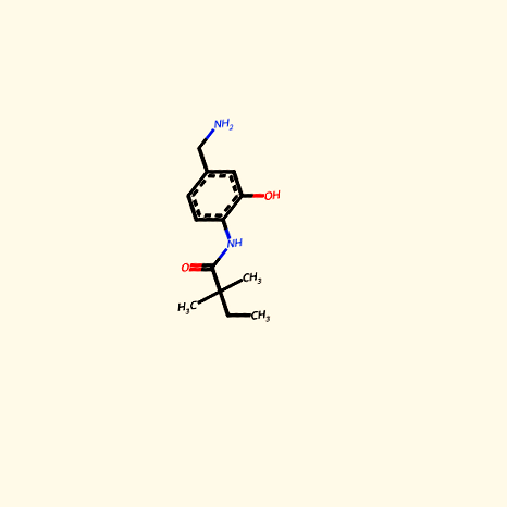 CCC(C)(C)C(=O)Nc1ccc(CN)cc1O